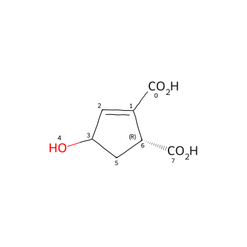 O=C(O)C1=CC(O)C[C@H]1C(=O)O